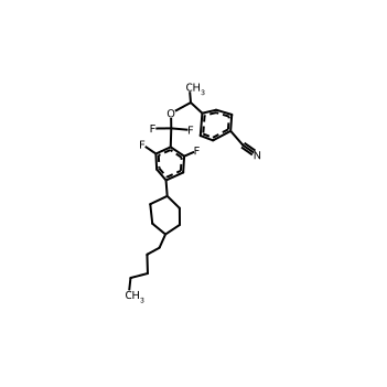 CCCCCC1CCC(c2cc(F)c(C(F)(F)OC(C)c3ccc(C#N)cc3)c(F)c2)CC1